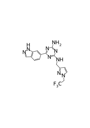 Nc1nc(NCc2ccn(CC(F)(F)F)n2)nc(-c2ccc3cn[nH]c3c2)n1